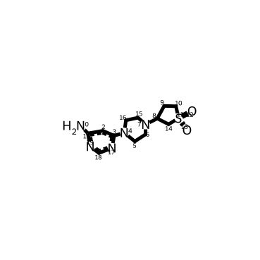 Nc1cc(N2CCN(C3CCS(=O)(=O)C3)CC2)ncn1